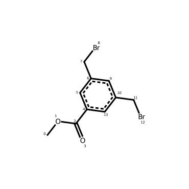 COC(=O)c1cc(CBr)cc(CBr)c1